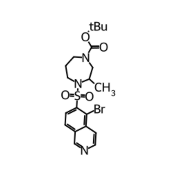 CC1CN(C(=O)OC(C)(C)C)CCCN1S(=O)(=O)c1ccc2cnccc2c1Br